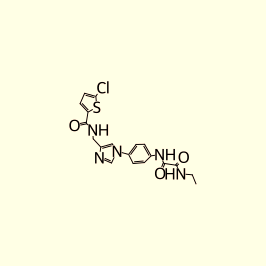 CCNC(=O)C(=O)Nc1ccc(-n2cnc(CNC(=O)c3ccc(Cl)s3)c2)cc1